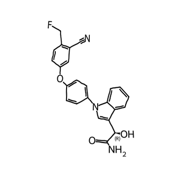 N#Cc1cc(Oc2ccc(-n3cc([C@@H](O)C(N)=O)c4ccccc43)cc2)ccc1CF